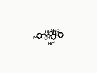 COc1ccccc1[C@]1(O)C[C@H](CC#N)C[C@H]2C(C(=O)Cc3ccc(F)cc3)NC[C@H]21